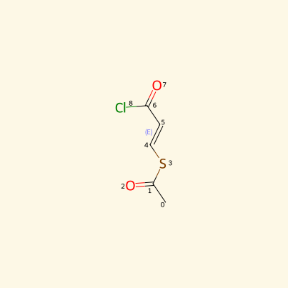 CC(=O)S/C=C/C(=O)Cl